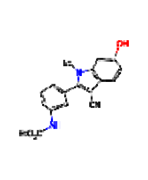 CCOC(=O)Nc1cccc(-c2c(C#N)c3ccc(O)cc3n2CC)c1